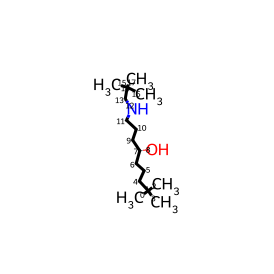 CC(C)(C)CCC[C@@H](O)CCCNCC(C)(C)C